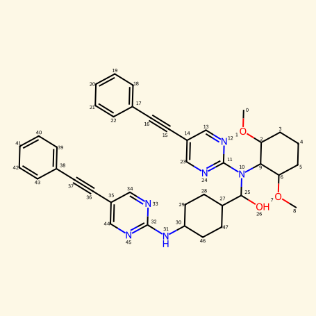 COC1CCCC(OC)C1N(c1ncc(C#Cc2ccccc2)cn1)C(O)C1CCC(Nc2ncc(C#Cc3ccccc3)cn2)CC1